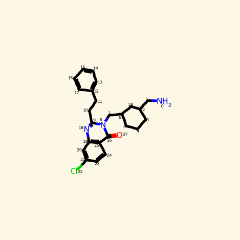 NCC1CCCC(Cn2c(CCc3ccccc3)nc3cc(Cl)ccc3c2=O)C1